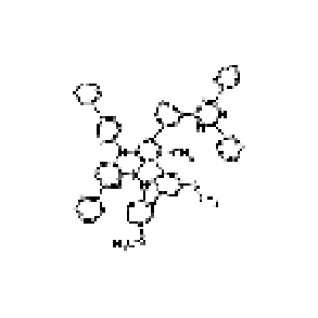 CSc1ccc2c(c1)c1cc(SC)cc3c1n2B1c2cc(-c4ccccc4)ccc2N(c2ccc(-c4ccccc4)cc2)c2cc(-c4cccc(-c5nc(-c6ccccc6)nc(-c6ccccc6)n5)c4)c(C)c-3c21